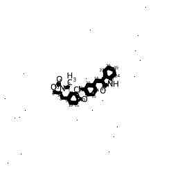 CCN1C(=O)OCC1Cc1ccc(Oc2ccc(/C=C3\C(=O)Nc4ccccc43)cc2Cl)cc1